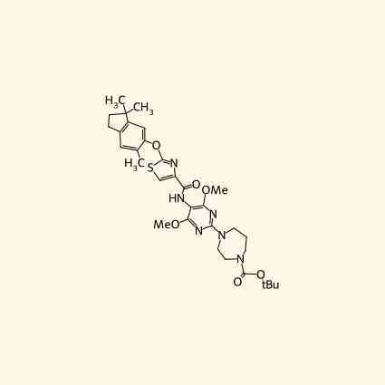 COc1nc(N2CCCN(C(=O)OC(C)(C)C)CC2)nc(OC)c1NC(=O)c1csc(Oc2cc3c(cc2C)CCC3(C)C)n1